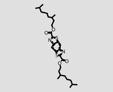 CC(C)CCCC(C)CCOC(=O)c1nc2cc3sc(C(=O)OCCC(C)CCCC(C)C)nc3cc2s1